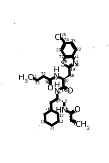 C=CC(=O)NC[C@H](CC1CCCCC1)NC(=O)[C@H](Cc1nc2ccc(Cl)cc2s1)NC(=O)CCC